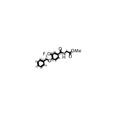 COC(=O)CNC(=O)c1ccc(OCc2ccccc2)c(C(F)(F)F)c1